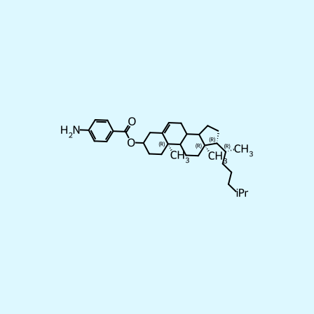 CC(C)CCC[C@@H](C)[C@H]1CCC2C3CC=C4CC(OC(=O)c5ccc(N)cc5)CC[C@]4(C)C3CC[C@@]21C